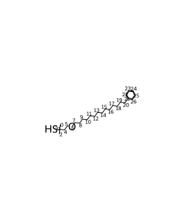 CC(C)(S)CCOCCCCCCCCCCCCCCc1ccccc1